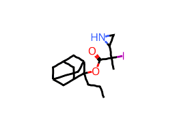 CCCC1(OC(=O)C(C)(I)C2CN2)C2CC3CC(C2)CC1C3